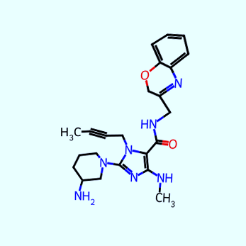 CC#CCn1c(N2CCCC(N)C2)nc(NC)c1C(=O)NCC1=Nc2ccccc2OC1